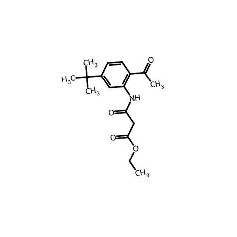 CCOC(=O)CC(=O)Nc1cc(C(C)(C)C)ccc1C(C)=O